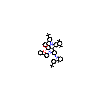 Cc1cc2c3c(c1)N(c1cccc4c1oc1ccccc14)c1cc(N4c5ccc(C(C)(C)C)cc5C5(C)CCCCC45C)ccc1B3c1cc3c(cc1N2c1ccc(C(C)(C)C)cc1-c1ccccc1)C(C)(C)CCC3(C)C